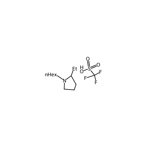 CCCCCCN1CCCC1CC.O=S(=O)(O)C(F)(F)F